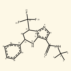 CC(C)(C)NC(=O)c1cnn2c1NC(c1ccccc1)CC2C(F)(F)F